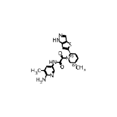 Cc1cc(NC(=O)C(=O)N2C[C@@H](C)CC[C@@H]2c2cc3[nH]ncc3s2)cnc1N